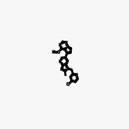 COc1ncnn2ccc(-c3cnc4nc(C)n(Cc5cc(Cl)ccn5)c4c3)c12